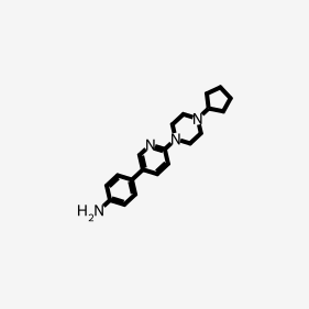 Nc1ccc(-c2ccc(N3CCN(C4CCCC4)CC3)nc2)cc1